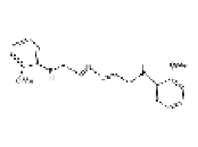 COc1ccccc1PCC=CN=CCPc1ccccc1OC